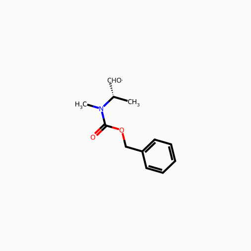 C[C@@H]([C]=O)N(C)C(=O)OCc1ccccc1